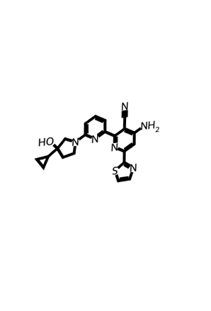 N#Cc1c(N)cc(-c2nccs2)nc1-c1cccc(N2CCC(O)(C3CC3)C2)n1